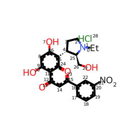 CCN1CC[C@@H](c2c(O)cc(O)c3c(=O)cc(-c4cccc([N+](=O)[O-])c4)oc23)[C@@H]1CO.Cl